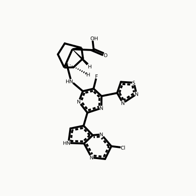 O=C(O)[C@H]1C2CCC(CC2)[C@@H]1Nc1nc(-c2c[nH]c3ncc(Cl)nc23)nc(-c2csnn2)c1F